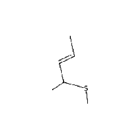 CC=CC(C)SC